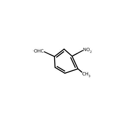 Cc1ccc([C]=O)cc1[N+](=O)[O-]